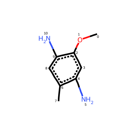 COc1cc(N)c(C)cc1N